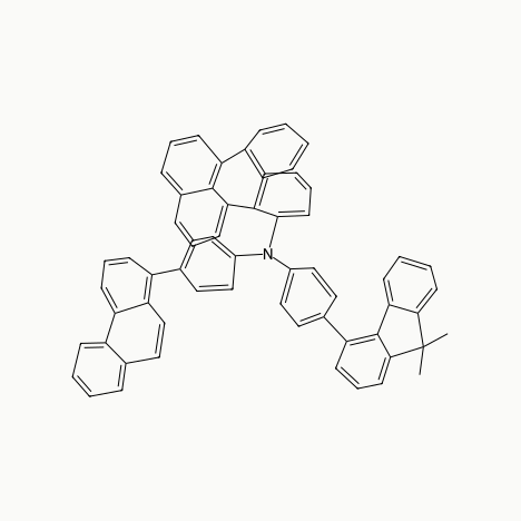 CC1(C)c2ccccc2-c2c(-c3ccc(N(c4ccc(-c5cccc6c5ccc5ccccc56)cc4)c4ccccc4-c4cccc5cccc(-c6ccccc6)c45)cc3)cccc21